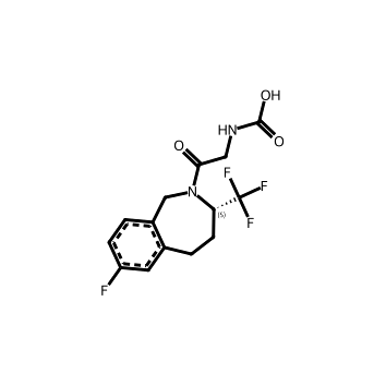 O=C(O)NCC(=O)N1Cc2ccc(F)cc2CC[C@H]1C(F)(F)F